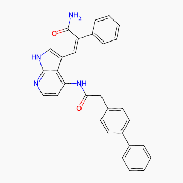 NC(=O)C(=Cc1c[nH]c2nccc(NC(=O)Cc3ccc(-c4ccccc4)cc3)c12)c1ccccc1